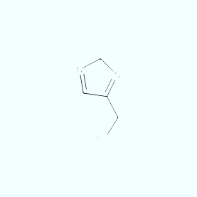 CC(C)CC1=N[C]N=C1